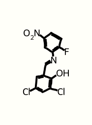 O=[N+]([O-])c1ccc(F)c(N=Cc2cc(Cl)cc(Cl)c2O)c1